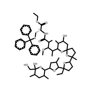 CCOC(=O)[C@@H](CSC(c1ccccc1)(c1ccccc1)c1ccccc1)NC(=O)C(C)C(OC)C(C)C1OC2(CCC(C)(C3CCC(CC)(C4OC(C5OC(O)(CO)C(C)CC5C)CC4C)O3)O2)CC(O)C1C